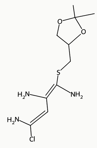 CC1(C)OCC(CS/C(N)=C(N)/C=C(\N)Cl)O1